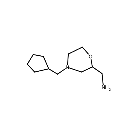 NCC1CN(CC2CCCC2)CCO1